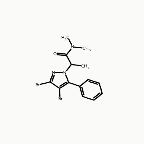 CC(C(=O)N(C)C)n1nc(Br)c(Br)c1-c1ccccc1